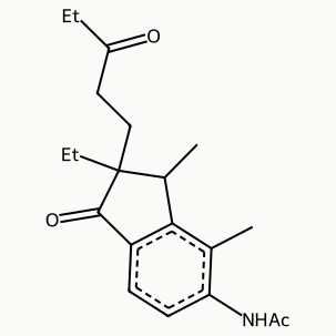 CCC(=O)CCC1(CC)C(=O)c2ccc(NC(C)=O)c(C)c2C1C